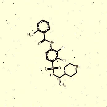 Cc1ccccc1C(=O)Nc1ccc(S(=O)(=O)N[C@H](C)C2CCNCC2)c(Cl)c1Cl